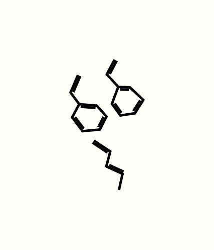 C=CC=CC.C=Cc1ccccc1.C=Cc1ccccc1